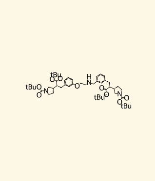 CC(C)(C)OC(=O)[C@@H](Cc1cccc(CNCCOc2cccc(C[C@H](C(=O)OC(C)(C)C)[C@H]3CCN(C(=O)OC(C)(C)C)C3)c2)c1)[C@H]1CCN(C(=O)OC(C)(C)C)C1